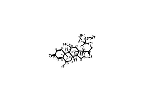 CC(C)OC1(OC(C)C)OCC(=O)[C@]2(CC[C@H]3[C@@H]4C[C@H](F)C5=CC(=O)C=C[C@]5(C)[C@H]4C(O)C[C@@]32C)O1